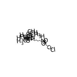 CN(C)S(=O)(=O)n1cc(CCCCCNS(=O)(=O)CCc2ccc(Cl)cc2)nc1[Si](C)(C)C(C)(C)C